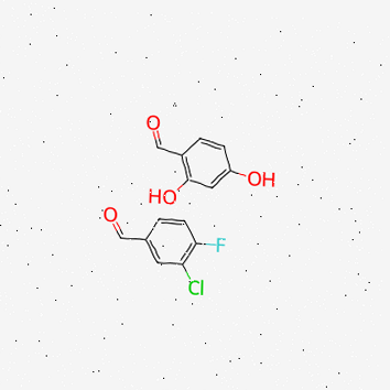 O=Cc1ccc(F)c(Cl)c1.O=Cc1ccc(O)cc1O